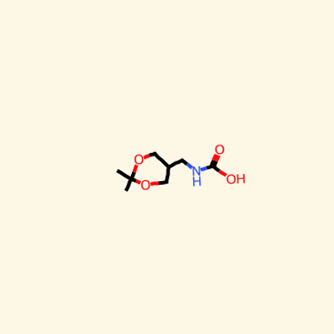 CC1(C)OCC(CNC(=O)O)CO1